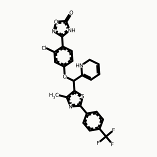 Cc1nc(-c2ccc(C(F)(F)F)cc2)sc1C(Oc1ccc(-c2noc(=O)[nH]2)c(Cl)c1)C1=CC=CCN1